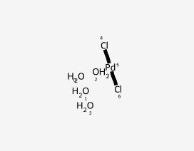 O.O.O.O.[Cl][Pd][Cl]